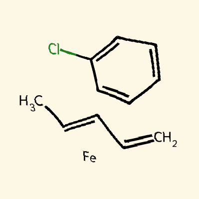 C=CC=CC.Clc1ccccc1.[Fe]